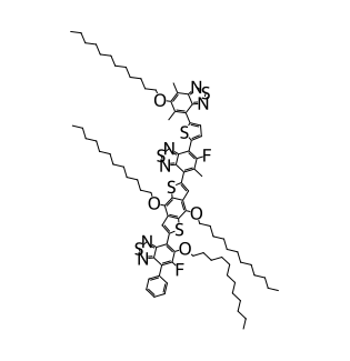 CCCCCCCCCCCCOc1c(C)c(-c2ccc(-c3c(F)c(C)c(-c4cc5c(OCCCCCCCCCCCC)c6sc(-c7c(OCCCCCCCCCCCC)c(F)c(-c8ccccc8)c8nsnc78)cc6c(OCCCCCCCCCCCC)c5s4)c4nsnc34)s2)c2nsnc2c1C